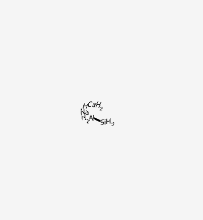 [AlH2][SiH3].[CaH2].[NaH]